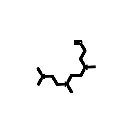 CN(C)CCN(C)CCN(C)CCO